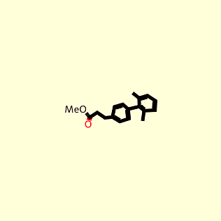 COC(=O)CCc1ccc(-c2c(C)cccc2C)cc1